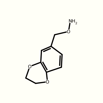 NOCc1ccc2c(c1)OCCO2